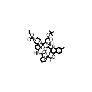 CCOC(=O)N1CCN(C(=O)C(CC(=O)OC(C)(C)C)NC(=O)c2cc(O[C@@H](C)C(=O)N3CCCC3C(=O)NC3CCCC3)c3ccc(C)cc3n2)CC1